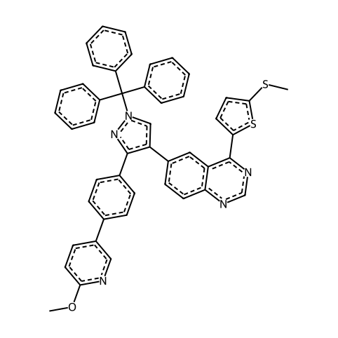 COc1ccc(-c2ccc(-c3nn(C(c4ccccc4)(c4ccccc4)c4ccccc4)cc3-c3ccc4ncnc(-c5ccc(SC)s5)c4c3)cc2)cn1